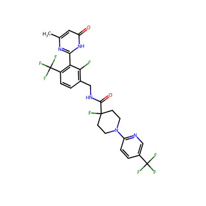 Cc1cc(=O)[nH]c(-c2c(C(F)(F)F)ccc(CNC(=O)C3(F)CCN(c4ccc(C(F)(F)F)cn4)CC3)c2F)n1